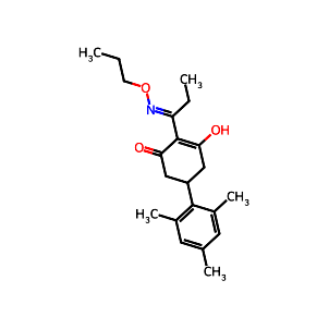 CCCON=C(CC)C1=C(O)CC(c2c(C)cc(C)cc2C)CC1=O